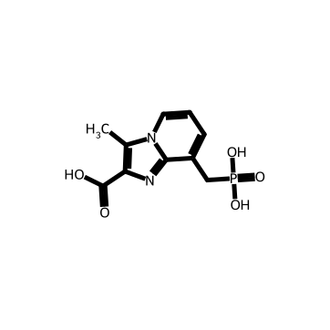 Cc1c(C(=O)O)nc2c(CP(=O)(O)O)cccn12